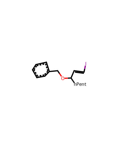 CCCCCC(/C=C/I)OCc1ccccc1